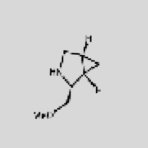 COC[C@H]1NC[C@@H]2C[C@@H]21